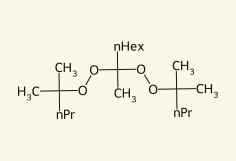 CCCCCCC(C)(OOC(C)(C)CCC)OOC(C)(C)CCC